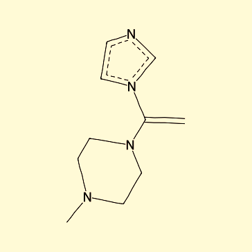 C=C(N1CCN(C)CC1)n1ccnc1